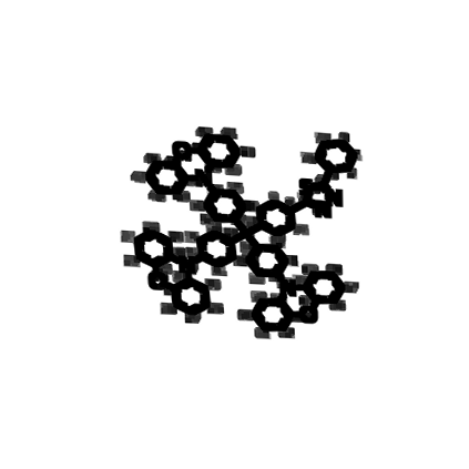 c1ccc(-c2nnc(-c3ccc(C(c4ccc(N5c6ccccc6Oc6ccccc65)cc4)(c4ccc(N5c6ccccc6Oc6ccccc65)cc4)c4ccc(N5c6ccccc6Oc6ccccc65)cc4)cc3)s2)cc1